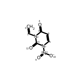 C=Cn1c(=O)ccn([N+](=O)[O-])c1=O